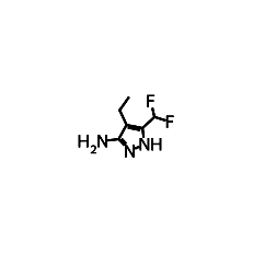 CCc1c(N)n[nH]c1C(F)F